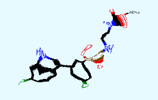 CC(C)(C)OC(=O)NCCNS(=O)(=O)c1cc(Cl)cc(-c2c[nH]c3cc(F)ccc23)c1